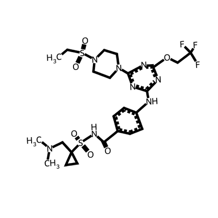 CCS(=O)(=O)N1CCN(c2nc(Nc3ccc(C(=O)NS(=O)(=O)C4(CN(C)C)CC4)cc3)nc(OCC(F)(F)F)n2)CC1